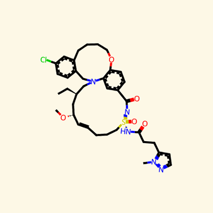 CC[C@@H]1C[C@@H](OC)/C=C/CCC[S@@](=O)(NC(=O)CCc2ccnn2C)=NC(=O)c2ccc3c(c2)N(Cc2ccc(Cl)cc2CCCCO3)C1